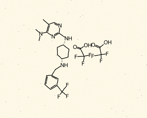 Cc1cnc(N[C@H]2CC[C@@H](NCc3cccc(C(F)(F)F)c3)CC2)nc1N(C)C.O=C(O)C(F)(F)F.O=C(O)C(F)(F)F